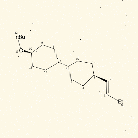 CC/C=C/[C@H]1CC[C@H]([C@H]2CC[C@H](OCCCC)CC2)CC1